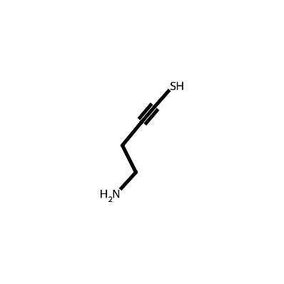 NCCC#CS